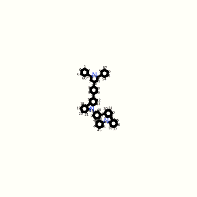 c1ccc(-c2cc(-c3ccc(-c4ccc5c(c4)c4ccccc4n5-c4cccc(-c5cccc6c7ccccc7n(-c7ccccc7)c56)c4)cc3)cc(-c3ccccc3)n2)cc1